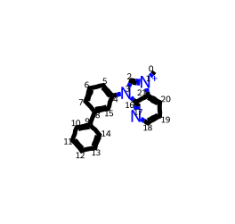 C[n+]1cn(-c2cccc(-c3ccccc3)c2)c2ncccc21